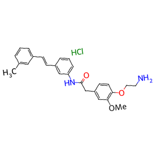 COc1cc(CC(=O)Nc2cccc(/C=C/c3cccc(C)c3)c2)ccc1OCCN.Cl